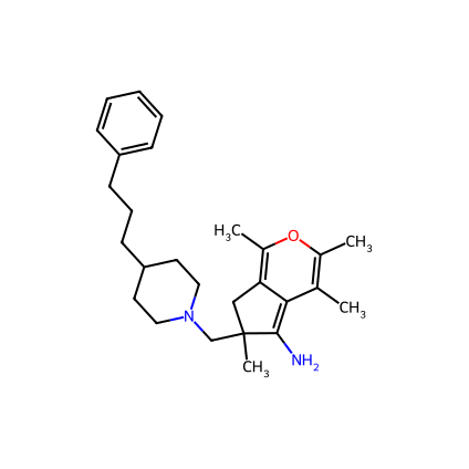 CC1=C(C)C2=C(N)C(C)(CN3CCC(CCCc4ccccc4)CC3)CC2=C(C)O1